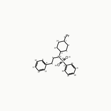 CC(C)C1CCC(N(CCc2ccccc2)S(=O)(=O)c2ccccc2)CC1